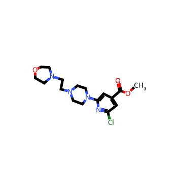 COC(=O)c1cc(Cl)nc(N2CCN(CCN3CCOCC3)CC2)c1